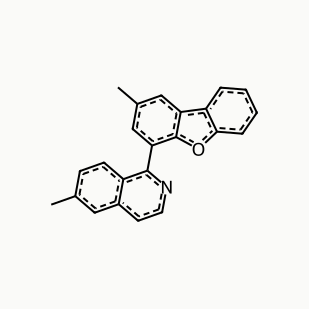 Cc1ccc2c(-c3cc(C)cc4c3oc3ccccc34)nccc2c1